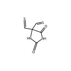 O=C1NC(=O)C(C=S)(C=S)N1